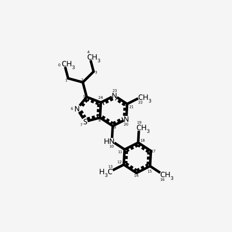 CCC(CC)c1nsc2c(Nc3c(C)cc(C)cc3C)nc(C)nc12